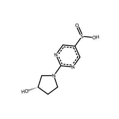 O=S(O)c1cnc(N2CC[C@H](O)C2)nc1